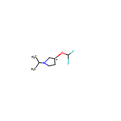 CC(C)N1CC[C@H](OC(F)F)C1